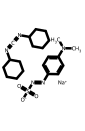 C(=NC1CCCCC1)=NC1CCCCC1.CN(C)c1ccc(/N=N/S(=O)(=O)[O-])cc1.[Na+]